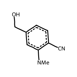 CNc1cc(CO)ccc1C#N